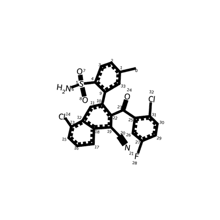 Cc1ccc(S(N)(=O)=O)c(-c2cc3c(Cl)cccc3c(C#N)c2C(=O)c2cc(F)ccc2Cl)c1